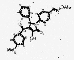 CO/N=C/c1ccc(N2C(=O)C(O)=C(C(=O)c3ccc(OC)cc3)C2c2ccccc2)cc1